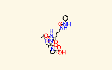 CC(C)[C@H](NC(=O)[C@H](CCCCNC(=O)Nc1ccccc1)NC(=O)OC(C)(C)C)C(=O)N1CCC[C@H]1C(=O)O